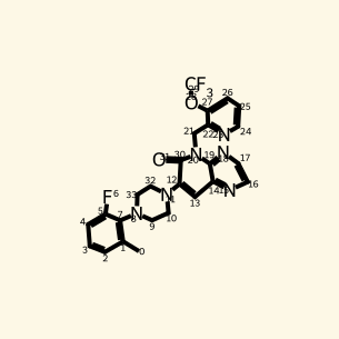 Cc1cccc(F)c1N1CCN(c2cc3nccnc3n(Cc3ncccc3OC(F)(F)F)c2=O)CC1